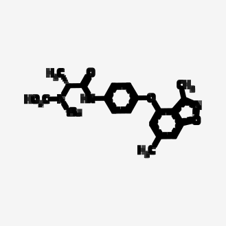 Cc1cc(Oc2ccc(NC(=O)[C@@H](C)N(C(=O)O)C(C)(C)C)cc2)c2c(C)noc2c1